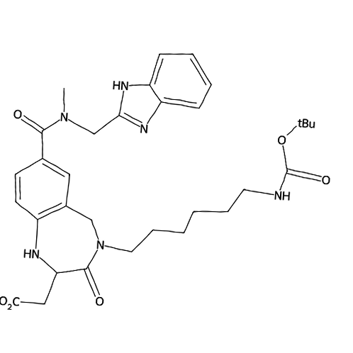 CN(Cc1nc2ccccc2[nH]1)C(=O)c1ccc2c(c1)CN(CCCCCCNC(=O)OC(C)(C)C)C(=O)C(CC(=O)O)N2